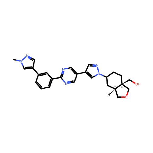 Cn1cc(-c2cccc(-c3ncc(-c4cnn(C5CC[C@]6(CO)COC[C@H]6C5)c4)cn3)c2)cn1